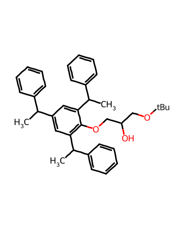 CC(c1ccccc1)c1cc(C(C)c2ccccc2)c(OCC(O)COC(C)(C)C)c(C(C)c2ccccc2)c1